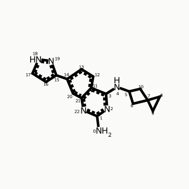 Nc1nc(NC2CC3(CC3)C2)c2ccc(-c3cc[nH]n3)cc2n1